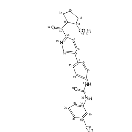 O=C(Nc1ccc(-c2ccc(C(=O)C3CCCC3C(=O)O)nc2)cc1)Nc1cccc(C(F)(F)F)c1